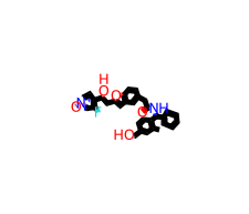 Cc1cc(CO)ccc1C(NC(=O)Cc1ccc2oc(CC(O)c3cc[n+]([O-])cc3F)cc2c1)c1ccccc1